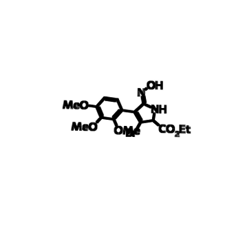 CCOC(=O)C1NC(=NO)C(c2ccc(OC)c(OC)c2OC)=C1Br